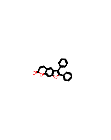 O=c1ccc2cc3c(-c4ccccc4)c(-c4ccccc4)oc3cc2o1